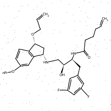 C=CCCCC(=O)N[C@@H](Cc1cc(F)cc(F)c1)[C@@H](O)CN[C@H]1C[C@@H](OCC=C)c2ccc(OCCC)cc21